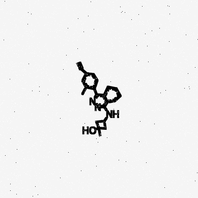 C#Cc1ccc(-c2nnc(NC3CC(C)(O)C3)c3ccccc23)c(C)c1